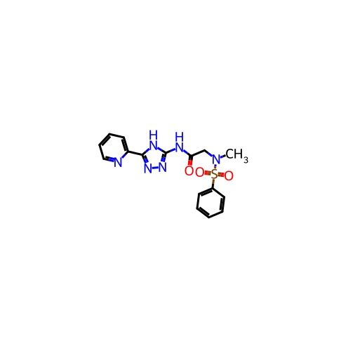 CN(CC(=O)Nc1nnc(-c2ccccn2)[nH]1)S(=O)(=O)c1ccccc1